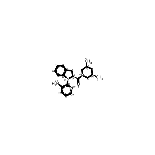 C[C@@H]1C[C@H](C)CN(C(=O)[C@@H]2Cc3ccccc3N2c2ncccc2N)C1